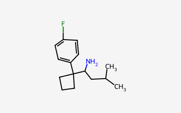 CC(C)CC(N)C1(c2ccc(F)cc2)CCC1